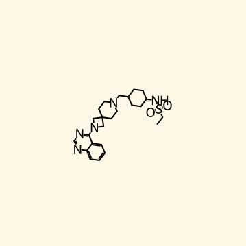 CCS(=O)(=O)NC1CCC(CN2CCC3(CC2)CN(c2ncnc4ccccc24)C3)CC1